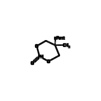 CCCCCC1(C)CO[PH](=O)OC1